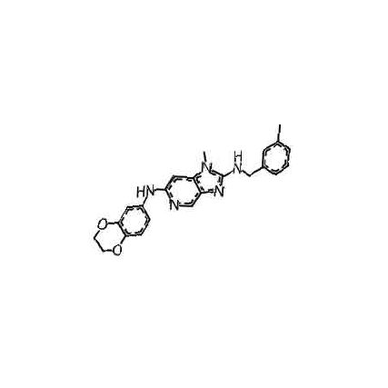 Cc1cccc(CNc2nc3cnc(Nc4ccc5c(c4)OCCO5)cc3n2C)c1